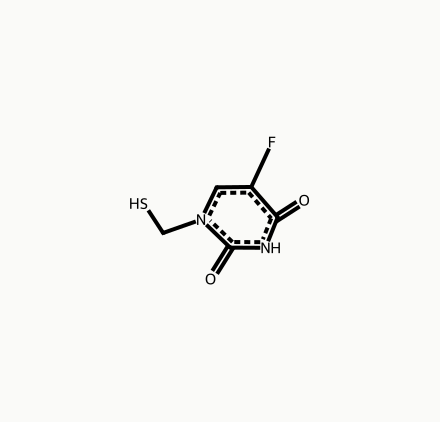 O=c1[nH]c(=O)n(CS)cc1F